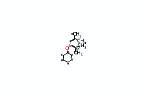 CC(C)=CC(OC1CCCCC1)=C(C)C